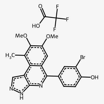 COc1cc2c(-c3ccc(O)c(Br)c3)nc3[nH]ncc3c2c(C)c1OC.O=C(O)C(F)(F)F